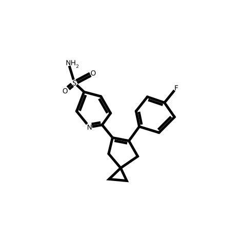 NS(=O)(=O)c1ccc(C2=C(c3ccc(F)cc3)CC3(CC3)C2)nc1